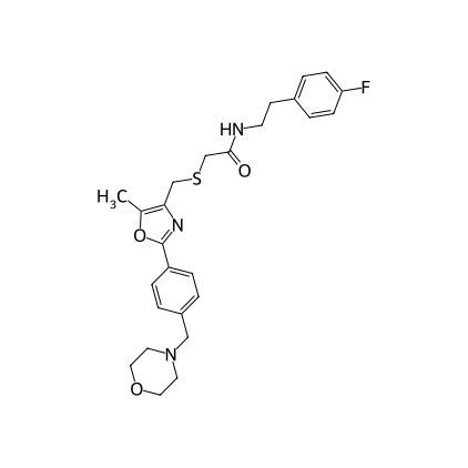 Cc1oc(-c2ccc(CN3CCOCC3)cc2)nc1CSCC(=O)NCCc1ccc(F)cc1